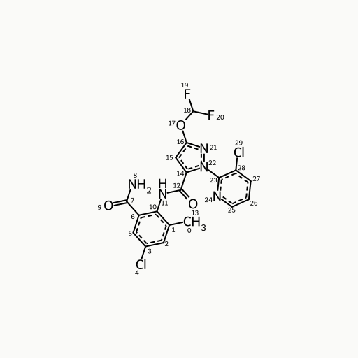 Cc1cc(Cl)cc(C(N)=O)c1NC(=O)c1cc(OC(F)F)nn1-c1ncccc1Cl